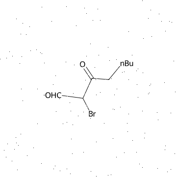 CCCCCC(=O)C(Br)[C]=O